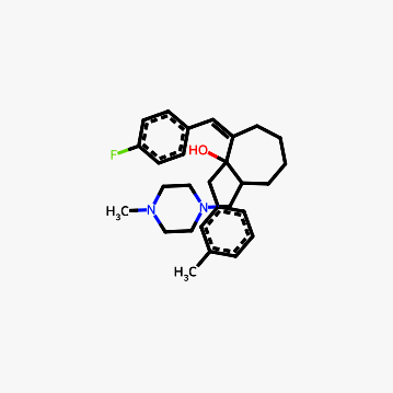 Cc1cccc(CC2(O)/C(=C\c3ccc(F)cc3)CCCCC2CN2CCN(C)CC2)c1